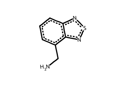 NCc1cccc2nsnc12